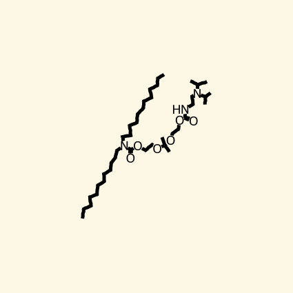 CCCCCCCCCCCCN(CCCCCCCCCCCC)C(=O)OCCOC(C)(C)OCCOC(=O)NCCN(C(C)C)C(C)C